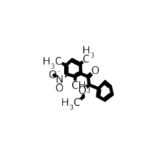 CCOC(C(=O)c1c(C)cc(C)c([N+](=O)[O-])c1C)c1ccccc1